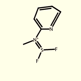 C[N+](c1ccccn1)=S(F)F